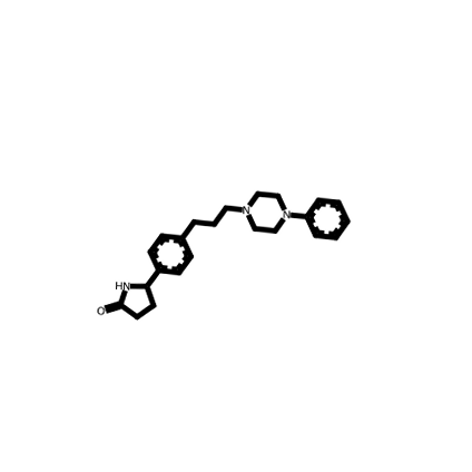 O=C1CCC(c2ccc(CCCN3CCN(c4ccccc4)CC3)cc2)N1